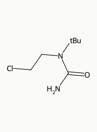 CC(C)(C)N(CCCl)C(N)=O